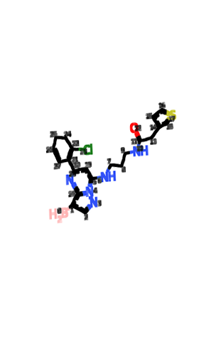 Bc1cnn2c(NCCCNC(=O)Cc3ccsc3)cc(C3=C(Cl)CCC=C3)nc12